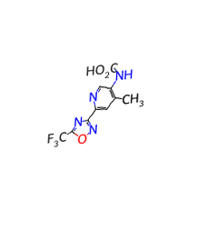 Cc1cc(-c2noc(C(F)(F)F)n2)ncc1NC(=O)O